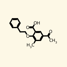 CC(=O)c1cc(C)c(OCCc2ccccc2)c(C(=O)O)c1